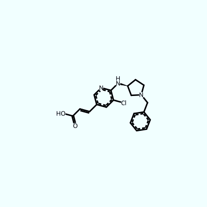 O=C(O)C=Cc1cnc(N[C@H]2CCN(Cc3ccccc3)C2)c(Cl)c1